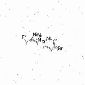 FCc1cn(-c2ccc(Br)cn2)nn1